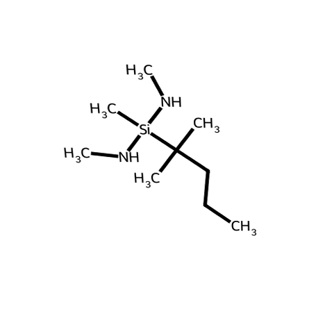 CCCC(C)(C)[Si](C)(NC)NC